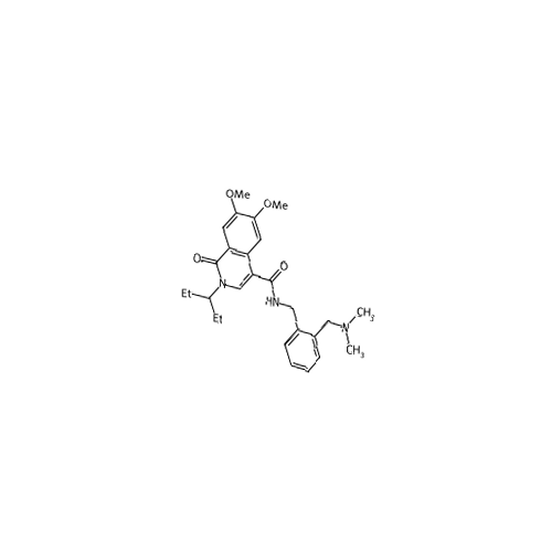 CCC(CC)n1cc(C(=O)NCc2ccccc2CN(C)C)c2cc(OC)c(OC)cc2c1=O